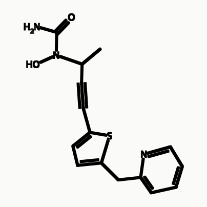 CC(C#Cc1ccc(Cc2ccccn2)s1)N(O)C(N)=O